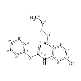 COCCOc1ccc(Cl)cc1NC(=O)Cc1ccccc1